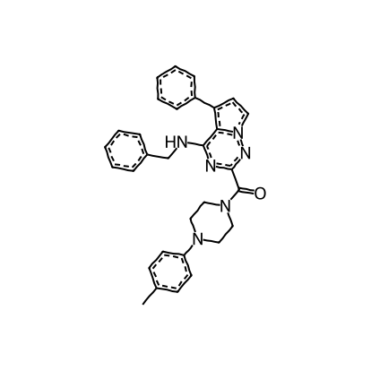 Cc1ccc(N2CCN(C(=O)c3nc(NCc4ccccc4)c4c(-c5ccccc5)ccn4n3)CC2)cc1